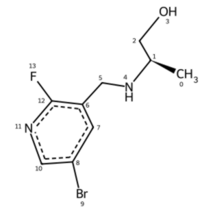 C[C@H](CO)NCc1cc(Br)cnc1F